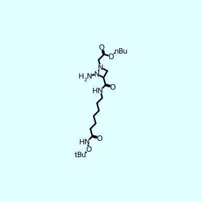 CCCCOC(=O)CN1CC(C(=O)NCCCCCCC(=O)NOC(C)(C)C)N1N